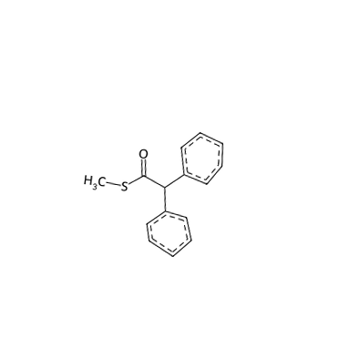 CSC(=O)C(c1ccccc1)c1ccccc1